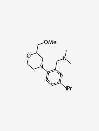 COCC1CN(c2ccc(C(C)C)nc2CN(C)C)CCO1